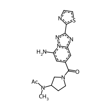 CC(=O)N(C)C1CCN(C(=O)c2cc(N)n3nc(-c4nccs4)nc3c2)C1